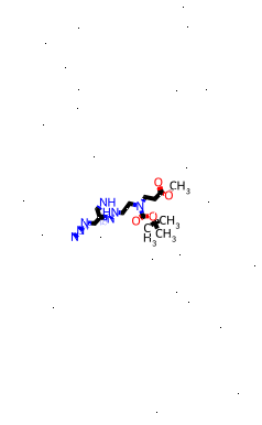 COC(=O)CCN(CCN/N=C(\C=N)CN=[N+]=[N-])C(=O)OC(C)(C)C